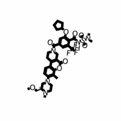 COC[C@H]1CN(c2ccc3c4c(c(=O)oc3c2C)CN(C(=O)c2cc(OC3CCCC3)c(C(=O)NS(=O)(=O)N(C)C)c(C(F)(F)F)c2)CC4)CCN1C